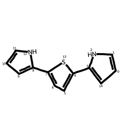 c1c[nH]c(-c2ccc(-c3ccc[nH]3)s2)c1